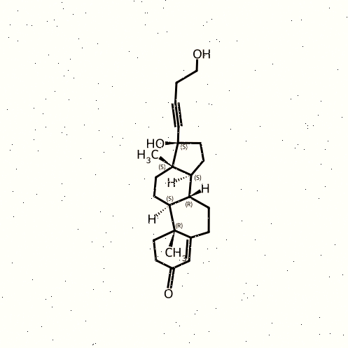 C[C@]12CCC(=O)C=C1CC[C@@H]1[C@@H]2CC[C@@]2(C)[C@H]1CC[C@@]2(O)C#CCCO